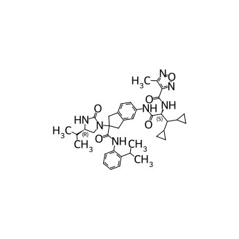 Cc1nonc1C(=O)N[C@H](C(=O)Nc1ccc2c(c1)CC(C(=O)Nc1ccccc1C(C)C)(N1C[C@@H](C(C)C)NC1=O)C2)C(C1CC1)C1CC1